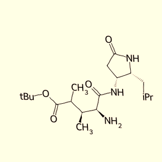 CC(C)C[C@H]1NC(=O)C[C@H]1NC(=O)[C@@H](N)[C@@H](C)C(C)C(=O)OC(C)(C)C